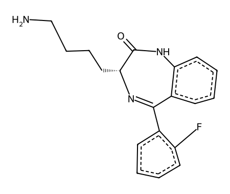 NCCCC[C@H]1N=C(c2ccccc2F)c2ccccc2NC1=O